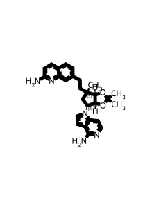 CC1(C)O[C@H]2[C@H](n3ccc4c(N)nccc43)C[C@](C)(CCc3ccc4ccc(N)nc4c3)[C@H]2O1